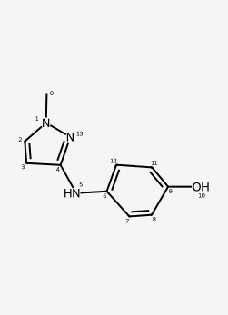 Cn1ccc(Nc2ccc(O)cc2)n1